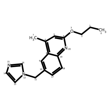 CCCOc1cc(C)c2cc(Cn3ccnc3)ccc2n1